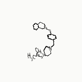 CN(C)SN1CCN(Cc2ccc(SN3CCc4ccccc4C3)cc2)CC1